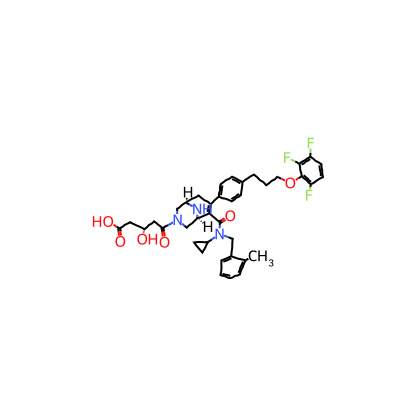 Cc1ccccc1CN(C(=O)C1=C(c2ccc(CCCOc3c(F)ccc(F)c3F)cc2)C[C@@H]2CN(C(=O)C[C@H](O)CC(=O)O)C[C@H]1N2)C1CC1